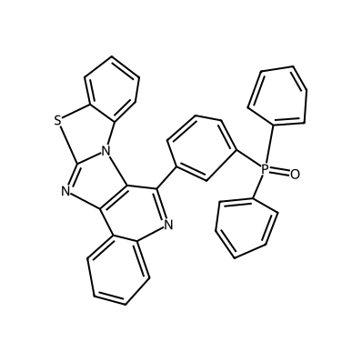 O=P(c1ccccc1)(c1ccccc1)c1cccc(-c2nc3ccccc3c3nc4sc5ccccc5n4c23)c1